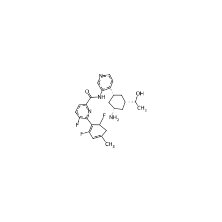 CC1=CC(F)=C(c2nc(C(=O)Nc3cnccc3[C@H]3C[C@@H](N)C[C@@H](C(C)O)C3)ccc2F)C(F)C1